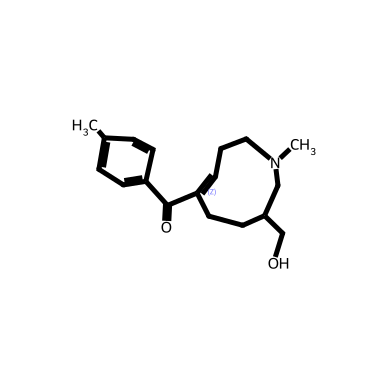 Cc1ccc(C(=O)/C2=C\CCN(C)CC(CO)CC2)cc1